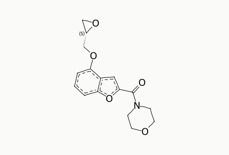 O=C(c1cc2c(OC[C@@H]3CO3)cccc2o1)N1CCOCC1